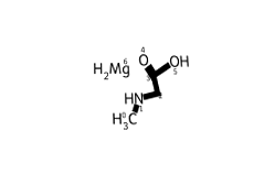 CNCC(=O)O.[MgH2]